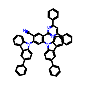 N#Cc1cc(-c2nc(-c3ccccc3)cc(-c3ccccc3)n2)c(-n2c3ccccc3c3cc(-c4ccccc4)ccc32)cc1-n1c2ccccc2c2cc(-c3ccccc3)ccc21